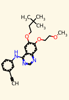 C#Cc1cccc(Nc2ncnc3cc(OCCOC)c(OCCC(C)(C)C)cc23)c1